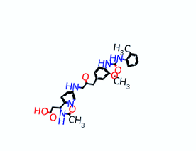 COc1cc(CC(=O)CNc2ccc(C(CC(=O)O)NC(C)=O)nc2)ccc1NC(=O)Nc1ccccc1C